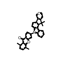 Cc1ccc(C)c2c(=O)c3ccc(-n4c5ccccc5c5c6c(ccc54)-c4ccccc4C6(C)C)cc3oc12